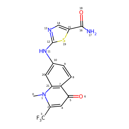 Cn1c(C(F)(F)F)cc(=O)c2ccc(Nc3ncc(C(N)=O)s3)cc21